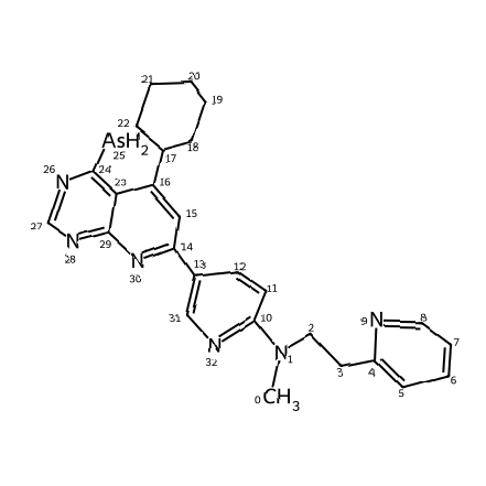 CN(CCc1ccccn1)c1ccc(-c2cc(C3CCCCC3)c3c([AsH2])ncnc3n2)cn1